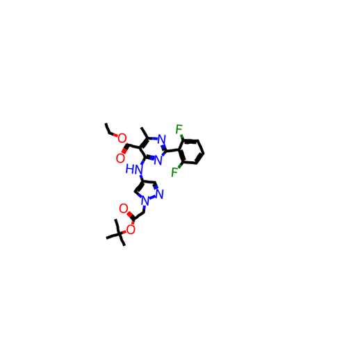 CCOC(=O)c1c(C)nc(-c2c(F)cccc2F)nc1Nc1cnn(CC(=O)OC(C)(C)C)c1